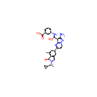 Cc1cc(-c2ccn3nc(N)c(C(O)Nc4cccc(C(=O)O)c4)c3n2)cc2c1C(=O)N([C@@H](C)C1CC1)C2